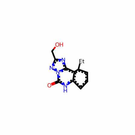 CCc1cccc2[nH]c(=O)n3nc(CO)nc3c12